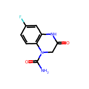 NC(=O)N1CC(=O)Nc2cc(F)ccc21